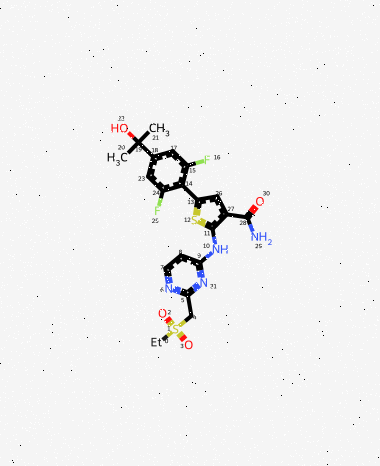 CCS(=O)(=O)Cc1nccc(Nc2sc(-c3c(F)cc(C(C)(C)O)cc3F)cc2C(N)=O)n1